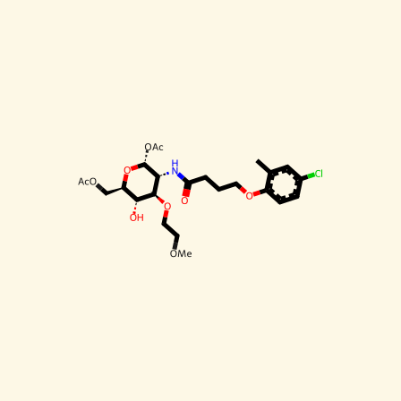 COCCO[C@H]1[C@H](O)[C@@H](COC(C)=O)O[C@H](OC(C)=O)[C@@H]1NC(=O)CCCOc1ccc(Cl)cc1C